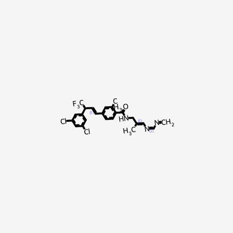 C=N/C=N\C=C(/C)CNC(=O)c1ccc(/C=C/C(c2cc(Cl)cc(Cl)c2)C(F)(F)F)cc1C